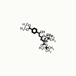 COC(OC)c1ccc(C(O)CC(CNC(=O)OC(C)(C)C)O[Si](C)(C)C(C)(C)C)cc1